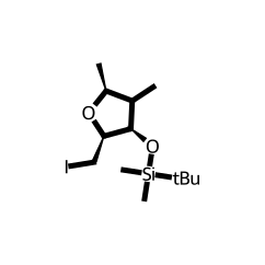 CC1[C@H](C)O[C@H](CI)[C@@H]1O[Si](C)(C)C(C)(C)C